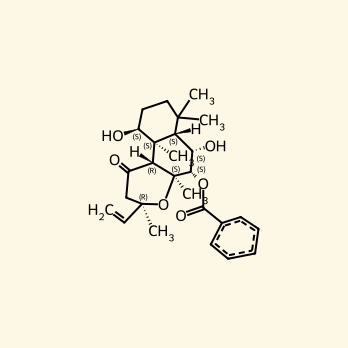 C=C[C@@]1(C)CC(=O)[C@H]2[C@](C)(O1)[C@@H](OC(=O)c1ccccc1)[C@@H](O)[C@H]1C(C)(C)CC[C@H](O)[C@@]12C